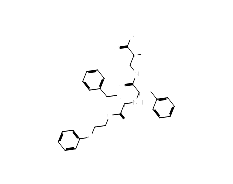 O=C(NC[C@H](O)C(=O)O)[C@H](Cc1ccccc1)N[C@@H](CCc1ccccc1)C(=O)OCCOc1ccccc1